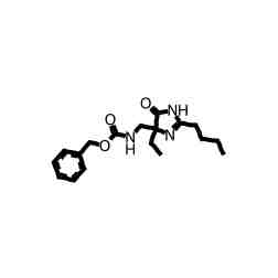 CCCCC1=NC(CC)(CNC(=O)OCc2ccccc2)C(=O)N1